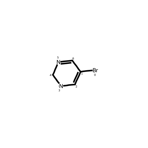 BrC1=C[N]CN=C1